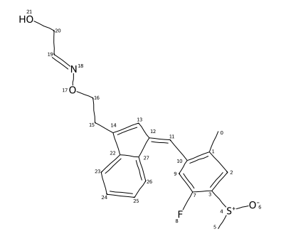 Cc1cc([S+](C)[O-])c(F)cc1/C=C1/C=C(CCON=CCO)c2ccccc21